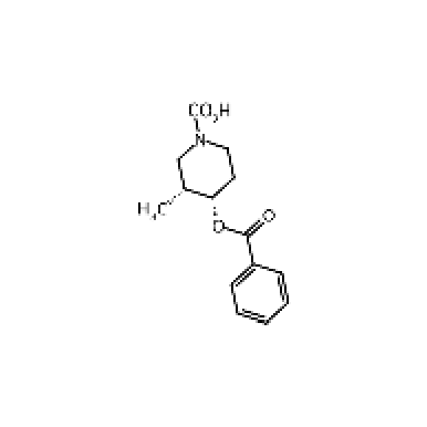 C[C@@H]1CN(C(=O)O)CC[C@@H]1OC(=O)c1ccccc1